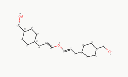 OCC1CCC(CC=COC=CCC2CCC(CO)CC2)CC1